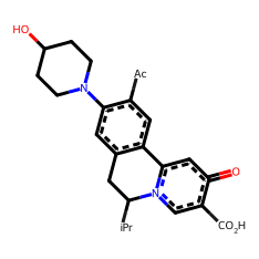 CC(=O)c1cc2c(cc1N1CCC(O)CC1)CC(C(C)C)n1cc(C(=O)O)c(=O)cc1-2